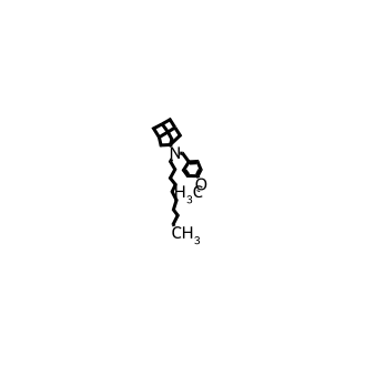 CCCCCCCCCCN(Cc1ccc(OC)cc1)C12CC3CC4CC(C1)C43C2